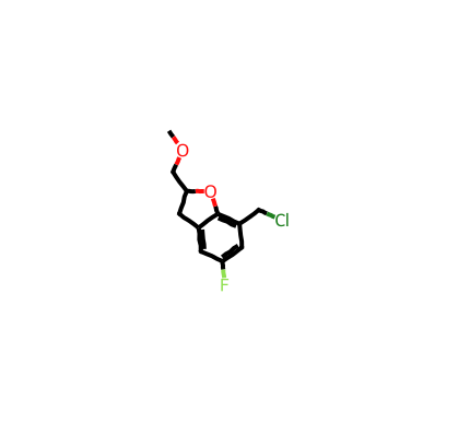 COCC1Cc2cc(F)cc(CCl)c2O1